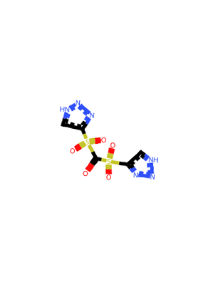 O=C(S(=O)(=O)c1c[nH]nn1)S(=O)(=O)c1c[nH]nn1